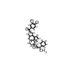 CC(CCC1(O)CCN(CC2CN(C(=O)c3ccc(Cl)c(Cl)c3)CC2c2ccsc2)CC1)c1ccccc1